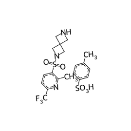 Cc1ccc(S(=O)(=O)O)cc1.Cc1nc(C(F)(F)F)ccc1S(=O)(=O)N1CC2(CNC2)C1